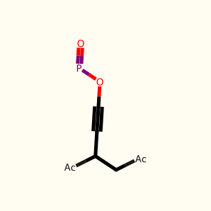 CC(=O)CC(C#COP=O)C(C)=O